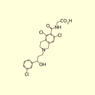 O=C(O)CNC(=O)c1c(Cl)cc2c(c1Cl)CCN(CCC(O)c1cccc(Cl)c1)C2